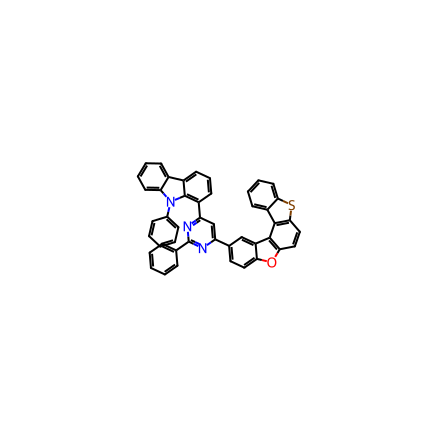 c1ccc(-c2nc(-c3ccc4oc5ccc6sc7ccccc7c6c5c4c3)cc(-c3cccc4c5ccccc5n(-c5ccccc5)c34)n2)cc1